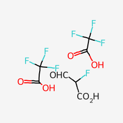 O=C(O)C(F)(F)F.O=C(O)C(F)(F)F.O=CC(F)C(=O)O